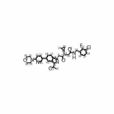 CC(=O)c1nn(CC(=O)N(CC(=O)NCc2cccc(Cl)c2F)C2CC2)c2ccc(-c3ccc(N4CCOCC4)nc3)cc12